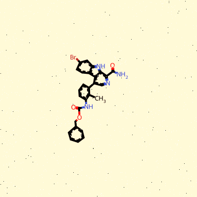 Cc1c(NC(=O)OCc2ccccc2)cccc1-c1cnc(C(N)=O)c2[nH]c3cc(Br)ccc3c12